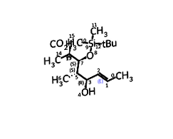 C/C=C/[C@@H](O)[C@H](C)[C@H](O[Si](C)(C)C(C)(C)C)[C@@H](C)C(=O)O